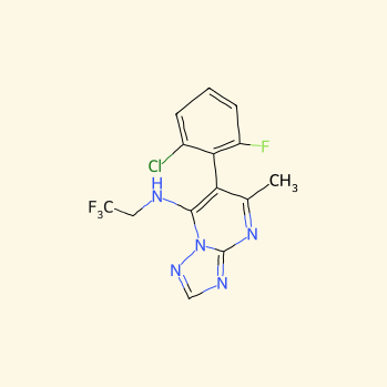 Cc1nc2ncnn2c(NCC(F)(F)F)c1-c1c(F)cccc1Cl